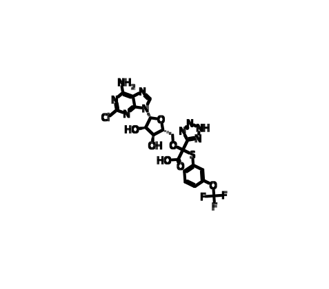 Nc1nc(Cl)nc2c1ncn2[C@@H]1O[C@H](COC(Sc2cccc(OC(F)(F)F)c2)(C(=O)O)c2nn[nH]n2)[C@@H](O)[C@H]1O